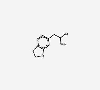 CCC(Cc1ccc2c(c1)OCO2)NC